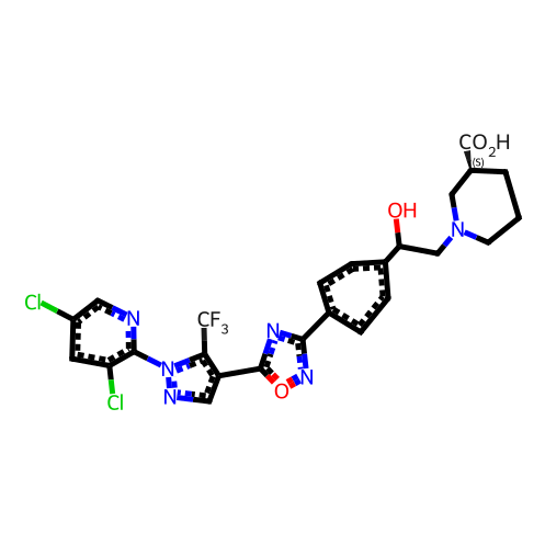 O=C(O)[C@H]1CCCN(CC(O)c2ccc(-c3noc(-c4cnn(-c5ncc(Cl)cc5Cl)c4C(F)(F)F)n3)cc2)C1